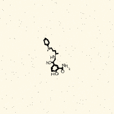 CC(CCCN(C)c1ccccc1)NCC(O)c1ccc(O)c(C(N)=O)c1